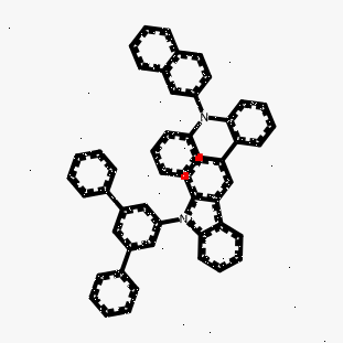 c1ccc(-c2cc(-c3ccccc3)cc(-n3c4ccccc4c4cc(-c5ccccc5N(c5ccccc5)c5ccc6ccccc6c5)ccc43)c2)cc1